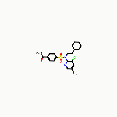 COC(=O)c1ccc(S(=O)(=O)N(CCC2CCCCC2)c2ncc(C(F)(F)F)cc2Cl)cc1